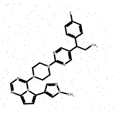 CCC(c1ccc(F)cc1)c1cnc(N2CCN(c3ncnc4ccc(-c5cnn(C)c5)n34)CC2)nc1